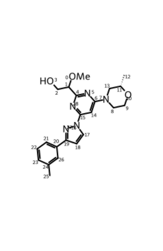 COC(CO)c1nc(N2CCO[C@@H](C)C2)cc(-n2ccc(-c3cccc(C)c3)n2)n1